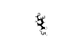 COC(=O)c1cnc(C=O)c(Cl)c1